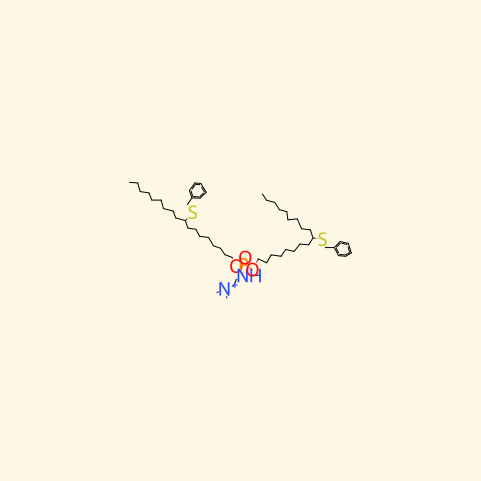 CCCCCCCCCC(CCCCCCCCOP(=O)(NCC[N+](C)(C)C)OCCCCCCCCC(CCCCCCCCC)SCc1ccccc1)SCc1ccccc1